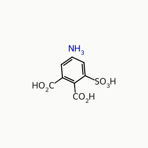 N.O=C(O)c1cccc(S(=O)(=O)O)c1C(=O)O